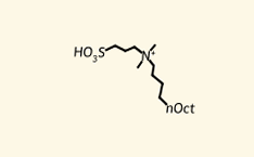 CCCCCCCCCCCC[N+](C)(C)CCCS(=O)(=O)O